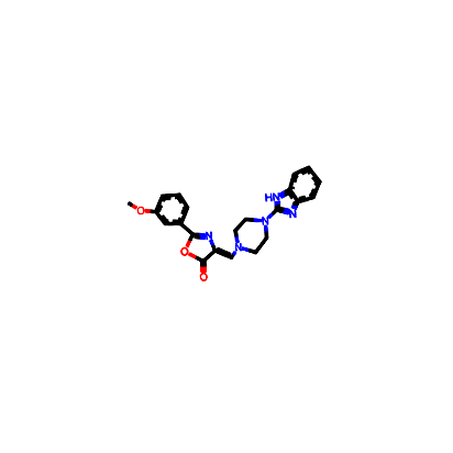 COc1cccc(C2=NC(=CN3CCN(c4nc5ccccc5[nH]4)CC3)C(=O)O2)c1